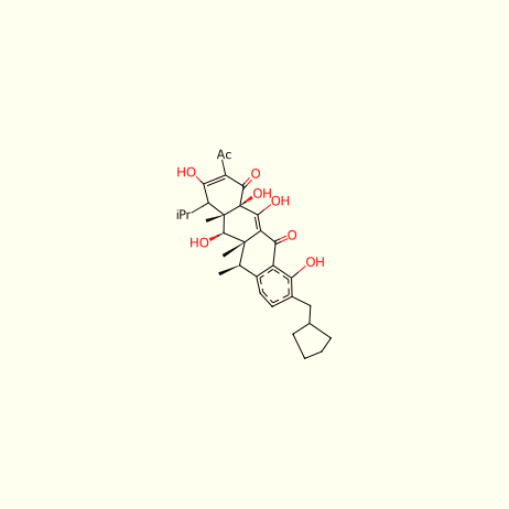 CC(=O)C1=C(O)C(C(C)C)[C@@]2(C)[C@H](O)[C@]3(C)C(=C(O)[C@@]2(O)C1=O)C(=O)c1c(ccc(CC2CCCC2)c1O)[C@H]3C